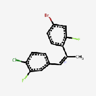 C/C(=C/c1ccc(Cl)c(F)c1)c1ccc(Br)cc1F